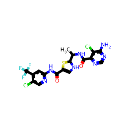 CC(NC(=O)c1ncnc(N)c1Cl)C1NC=C(C(=O)Nc2cc(C(F)(F)F)c(Cl)cn2)S1